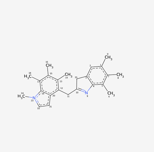 Cc1cc2c(c(C)c1C)N=C(Cc1c(C)c(C)c(C)c3c1ccn3C)C2